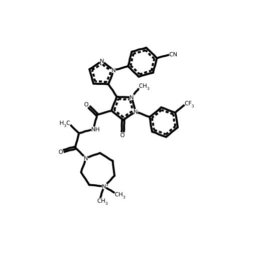 CC(NC(=O)c1c(-c2ccnn2-c2ccc(C#N)cc2)n(C)n(-c2cccc(C(F)(F)F)c2)c1=O)C(=O)N1CCC[N+](C)(C)CC1